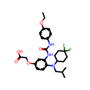 CCOc1ccc(NC(=O)Nc2cc(OCC(=O)O)ccc2N(CC(C)C)C2CCC(F)(F)CC2)cc1